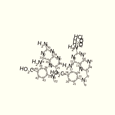 CN(Cc1cnc2nc(N)nc(N)c2n1)c1ccc(C(=O)O)cc1.CN(Cc1cnc2nc(N)nc(N)c2n1)c1ccc(C(=O)O)cc1.Cl.O.O